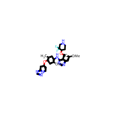 COc1cc(OC2CCNCC2(F)F)c2c(Nc3cc(C)c(Oc4ccn5ncnc5c4)cc3OC)ncnc2c1